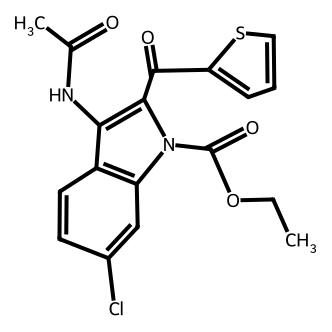 CCOC(=O)n1c(C(=O)c2cccs2)c(NC(C)=O)c2ccc(Cl)cc21